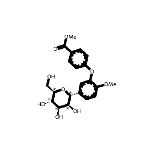 COC(=O)c1ccc(Oc2cc([C@H]3O[C@H](CO)[C@@H](O)[C@H](O)[C@@H]3O)ccc2OC)cc1